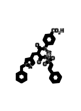 CCN(C(=O)C(Cc1cnn(Cc2ccccc2)c1)C(=O)NS(=O)(=O)C=Cc1ccccc1)c1ccc(C(=O)O)cc1